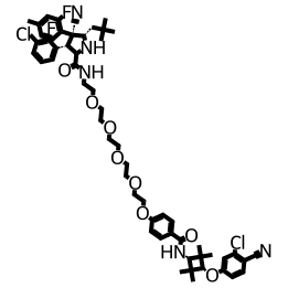 Cc1ccc([C@@]2(C#N)[C@H](CC(C)(C)C)NC(C(=O)NCCOCCOCCOCCOCCOc3ccc(C(=O)N[C@H]4C(C)(C)[C@H](Oc5ccc(C#N)c(Cl)c5)C4(C)C)cc3)[C@@H]2c2cccc(Cl)c2F)c(F)c1